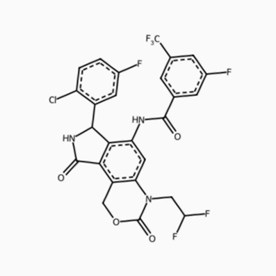 O=C(Nc1cc2c(c3c1C(c1cc(F)ccc1Cl)NC3=O)COC(=O)N2CC(F)F)c1cc(F)cc(C(F)(F)F)c1